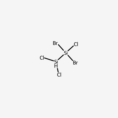 Cl[SiH](Cl)[Si](Cl)(Br)Br